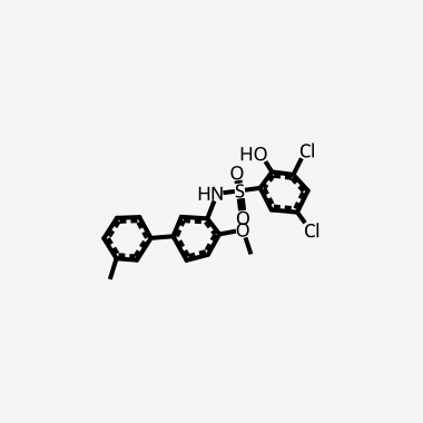 COc1ccc(-c2cccc(C)c2)cc1NS(=O)(=O)c1cc(Cl)cc(Cl)c1O